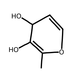 CC1=C(O)C(O)C=CO1